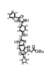 Cc1c([C@@](C)(NCC(=O)OCC(C)C)C(=O)N2CCCC2)ccc2[nH]c(CNc3ccc(C(=N)NC(=O)c4ccccc4)cc3)nc12